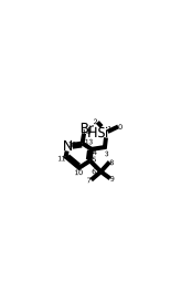 C[SiH](C)Cc1c(C(C)(C)C)ccnc1Br